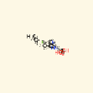 Cc1ccc(CCCc2ccc(-c3ccc(CNCCCP(=O)(O)O)c4ncccc34)cc2F)cc1